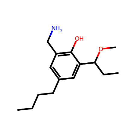 CCCCc1cc(CN)c(O)c(C(CC)OC)c1